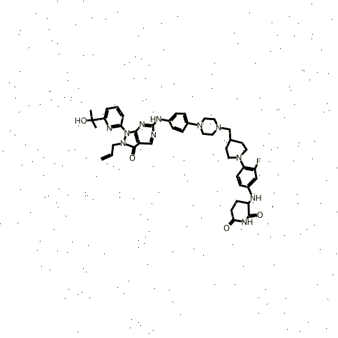 C=CCn1c(=O)c2cnc(Nc3ccc(N4CCN(CC5CCN(c6ccc(NC7CCC(=O)NC7=O)cc6F)CC5)CC4)cc3)nc2n1-c1cccc(C(C)(C)O)n1